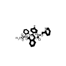 CS(=O)(=O)N[C@H]1CCCC[C@@H]1N1C(=O)c2ccccc2[C@@H](C(=O)NOCc2ccccn2)[C@@H]1c1ccc(F)cc1